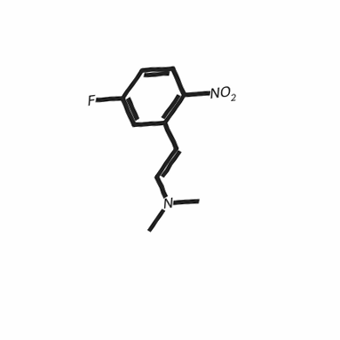 CN(C)C=Cc1cc(F)ccc1[N+](=O)[O-]